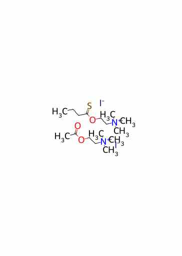 CC(=O)OCC[N+](C)(C)C.CCCC(=S)OCC[N+](C)(C)C.[I-].[I-]